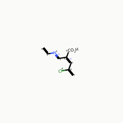 C=C/N=C/C(=C\C(=C)Cl)C(=O)O